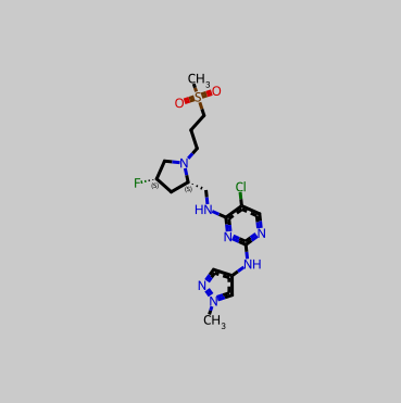 Cn1cc(Nc2ncc(Cl)c(NC[C@@H]3C[C@H](F)CN3CCCS(C)(=O)=O)n2)cn1